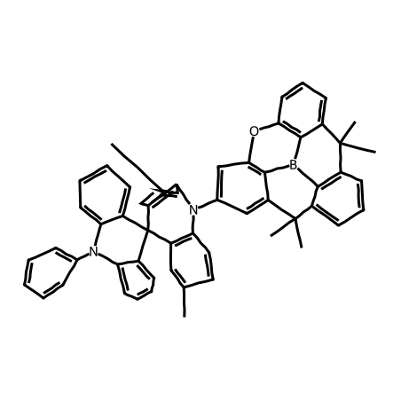 Cc1ccc2c(c1)C1(c3ccccc3N(c3ccccc3)c3ccccc31)c1cc(C)ccc1N2c1cc2c3c(c1)C(C)(C)c1cccc4c1B3c1c(cccc1C4(C)C)O2